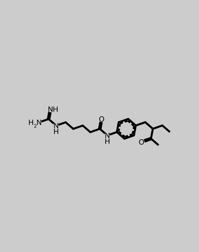 CCC(Cc1ccc(NC(=O)CCCCNC(=N)N)cc1)C(C)=O